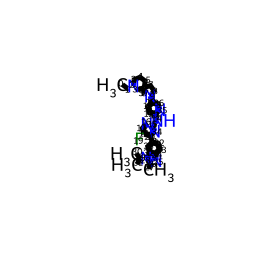 CCN1CCCC2(CCN(c3ccc(Nc4ncc(F)c(-c5ccc6nc(C)n(C(C)C)c6c5)n4)nc3)C2)C1